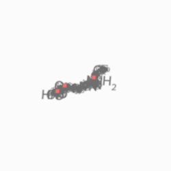 Cc1ccc(Oc2ccc(-c3nn(C4CCN(C5CCN(C6CN(c7ccc8c(c7)C(=O)N(C7CCC(=O)NC7=O)C8=O)C6)C5)CC4)c4ncnc(N)c34)cc2)cc1